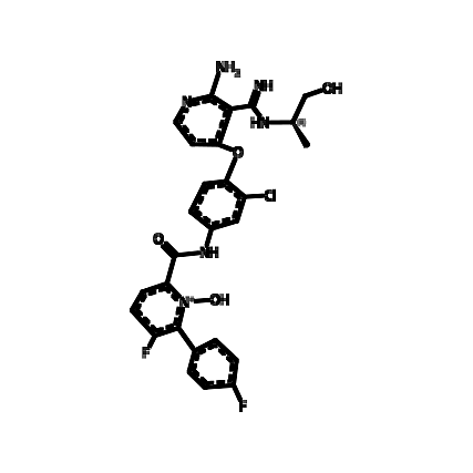 C[C@H](CO)NC(=N)c1c(Oc2ccc(NC(=O)c3ccc(F)c(-c4ccc(F)cc4)[n+]3O)cc2Cl)ccnc1N